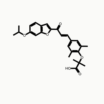 Cc1cc(/C=C/C(=O)c2cc3ccc(OC(C)C)cc3o2)cc(C)c1OC(C)(C)C(=O)O